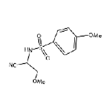 COCC(C#N)NS(=O)(=O)c1ccc(OC)cc1